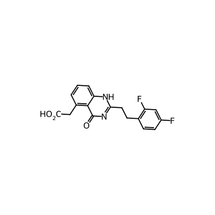 O=C(O)Cc1cccc2[nH]c(CCc3ccc(F)cc3F)nc(=O)c12